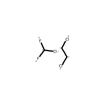 ClCCCl.FC(F)Cl